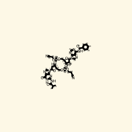 CC(C)C(=O)Nc1nc2c(ncn2C2C[C@@H]3OP(=O)(OCC#N)OCC4OC(n5cnc6c(NC(=O)c7ccccc7)ncnc65)[C@H](F)[C@@H]4OP(=O)(OCCC#N)OCC3O2)c(=O)[nH]1